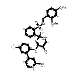 COc1ccc(CNS(=O)(=O)c2ccccc2C2(F)N=C(Sc3ccc(C(F)(F)F)cc3-c3ccnc(N)c3)C(Cl)=CN2)c(OC)c1